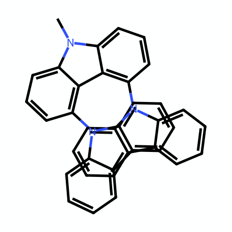 Cn1c2cccc(-n3c4ccccc4c4ccccc43)c2c2c(-n3c4ccccc4c4ccccc43)cccc21